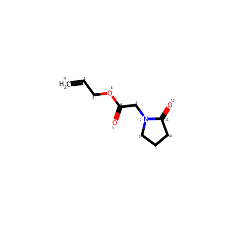 C=CCOC(=O)CN1CCCC1=O